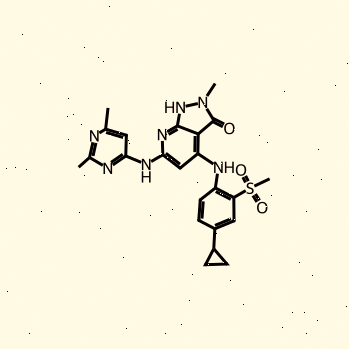 Cc1cc(Nc2cc(Nc3ccc(C4CC4)cc3S(C)(=O)=O)c3c(=O)n(C)[nH]c3n2)nc(C)n1